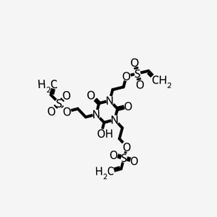 C=CS(=O)(=O)OCCN1C(=O)N(CCOS(=O)(=O)C=C)C(O)N(CCOS(=O)(=O)C=C)C1=O